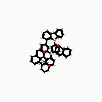 CC12C(=CC=CC1c1ccccc1N(c1cccc(-c3cccc4c5ccccc5n(-c5ccccc5)c34)c1)c1ccc3ccccc3c1)C=CC=C2C1CCCCC1